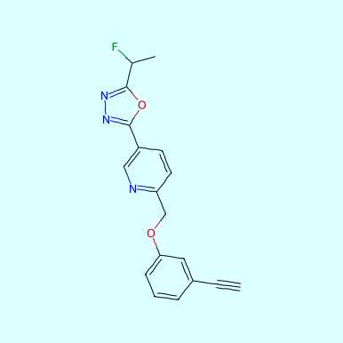 C#Cc1cccc(OCc2ccc(-c3nnc(C(C)F)o3)cn2)c1